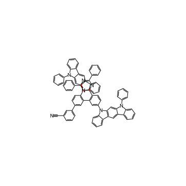 N#Cc1cccc(-c2ccc(-n3c4ccccc4c4cc5c6ccccc6n(-c6ccccc6)c5cc43)c(-c3cc(-n4c5ccccc5c5cc6c7ccccc7n(-c7ccccc7)c6cc54)ccc3-c3nc(-c4ccccc4)nc(-c4ccccc4)n3)c2)c1